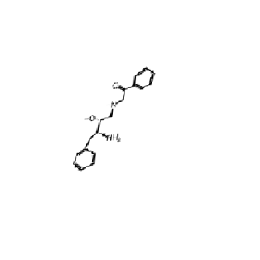 N[C@@H](Cc1ccccc1)[C@H](O)CNCC(=O)c1ccccc1